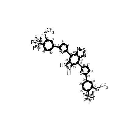 FC(F)(F)Sc1cc(-c2ccc(-c3c4nsnc4c(-c4ccc(-c5ccc(S(F)(F)(F)(F)F)c(SC(F)(F)F)c5)s4)c4[nH][nH]c34)s2)ccc1S(F)(F)(F)(F)F